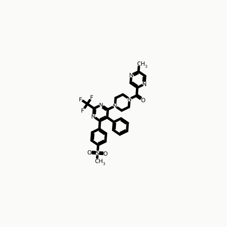 Cc1cnc(C(=O)N2CCN(c3nc(C(F)(F)F)nc(-c4ccc(S(C)(=O)=O)cc4)c3-c3ccccc3)CC2)cn1